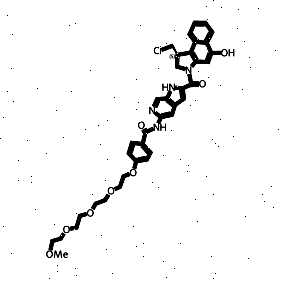 COCCOCCOCCOCCOc1ccc(C(=O)Nc2cc3cc(C(=O)N4C[C@@H](CCl)c5c4cc(O)c4ccccc54)[nH]c3cn2)cc1